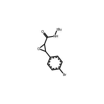 CC(C)(C)NC(=O)C1OC1c1ccc(Br)cc1